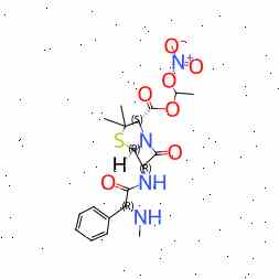 CN[C@@H](C(=O)N[C@@H]1C(=O)N2[C@@H]1SC(C)(C)[C@@H]2C(=O)OC(C)O[N+](=O)[O-])c1ccccc1